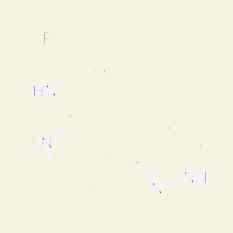 CC(C)C(=O)Nc1cc(-c2cc[nH]n2)ccn1